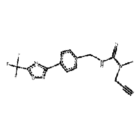 C#CCN(C)C(=O)NCc1ccc(-c2noc(C(F)(F)F)n2)cc1